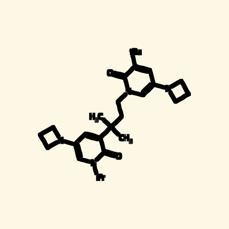 CC(C)n1cc(N2CCC2)cc(C(C)(C)CCn2cc(N3CCC3)cc(C(C)(C)C)c2=O)c1=O